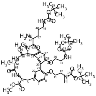 COC(=O)[C@@H]1Cc2ccc(OCCNC(=O)OC(C)(C)C)c(c2)-c2cc(ccc2OCCNC(=O)OC(C)(C)C)[C@H](N(C)C(=O)[C@@H](N)CCCNC(=O)OC(C)(C)C)C(=O)N[C@@H](C)C(=O)N1